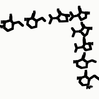 CC(C)N1CCNC1=S.CC(C)N1CCNC1=S.CC(C)N1CCNC1=S.CC(C)N1CCNC1=S.CCN1CCCNC1=S.CCN1CCCNC1=S.CCN1CCCNC1=S.CCN1CCCNC1=S.[Pt+2].[Pt+2]